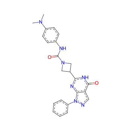 CN(C)c1ccc(NC(=O)N2CC(c3nc4c(cnn4-c4ccccc4)c(=O)[nH]3)C2)cc1